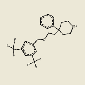 FC(F)(F)c1cc(COCCC2(c3ccccc3)CCNCC2)cc(C(F)(F)F)c1